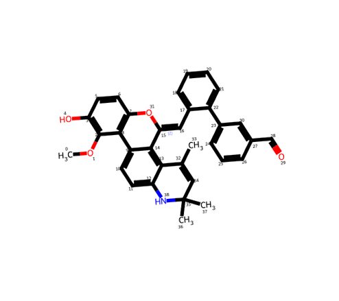 COc1c(O)ccc2c1-c1ccc3c(c1/C(=C/c1ccccc1-c1cccc(C=O)c1)O2)C(C)=CC(C)(C)N3